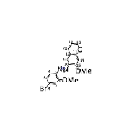 COc1cc(Br)ccc1/N=N/c1cc2c(cc1OC)OCC=C2